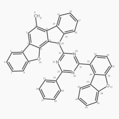 Cc1cc2c3ccccc3oc2c2c1c1ccccc1n2-c1nc(-c2ccccc2)nc(-c2cccc3oc4ccccc4c23)n1